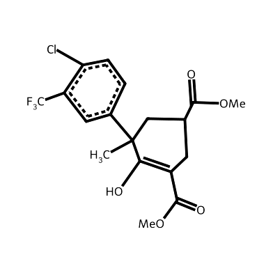 COC(=O)C1=C(O)C(C)(c2ccc(Cl)c(C(F)(F)F)c2)CC(C(=O)OC)C1